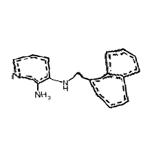 Nc1ncccc1NCc1cccc2ccccc12